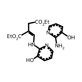 CCOC(=O)C/C(=C/Nc1ncccc1O)C(=O)OCC.Nc1ncccc1O